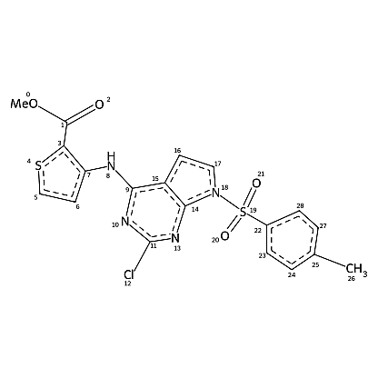 COC(=O)c1sccc1Nc1nc(Cl)nc2c1ccn2S(=O)(=O)c1ccc(C)cc1